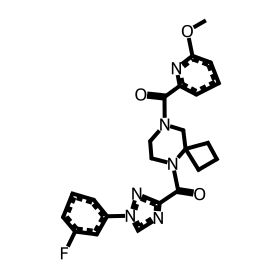 COc1cccc(C(=O)N2CCN(C(=O)c3ncn(-c4cccc(F)c4)n3)C3(CCC3)C2)n1